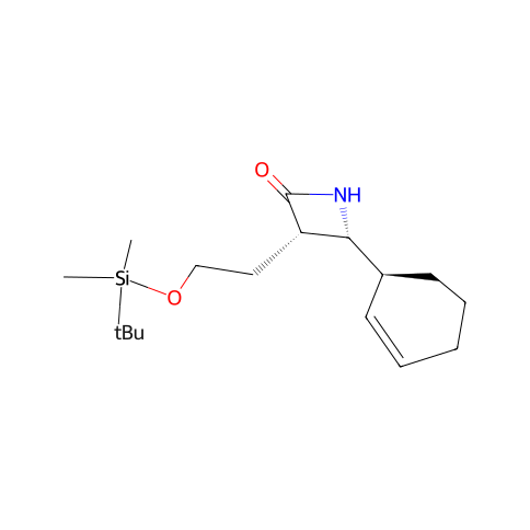 CC(C)(C)[Si](C)(C)OCC[C@@H]1C(=O)N[C@@H]1[C@@H]1C=CCCC1